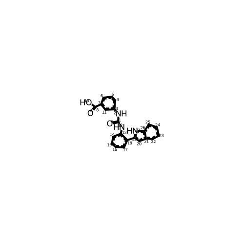 O=C(Nc1cccc(C(=O)O)c1)Nc1ccccc1-c1cc2ccccc2[nH]1